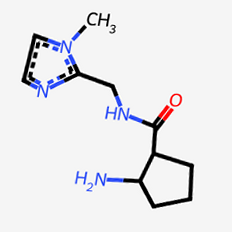 Cn1ccnc1CNC(=O)C1CCCC1N